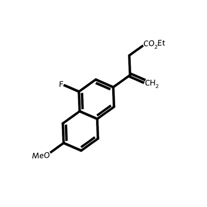 C=C(CC(=O)OCC)c1cc(F)c2cc(OC)ccc2c1